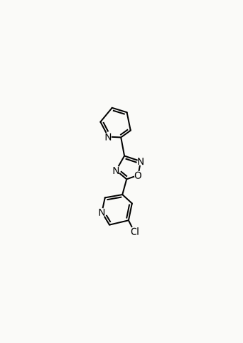 Clc1cncc(-c2nc(-c3ccccn3)no2)c1